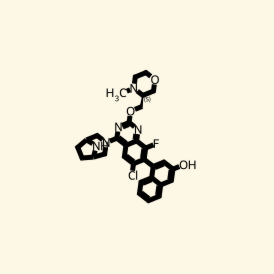 CN1CCOC[C@H]1COc1nc(N2CC3CCC(C2)N3)c2cc(Cl)c(-c3cc(O)cc4ccccc34)c(F)c2n1